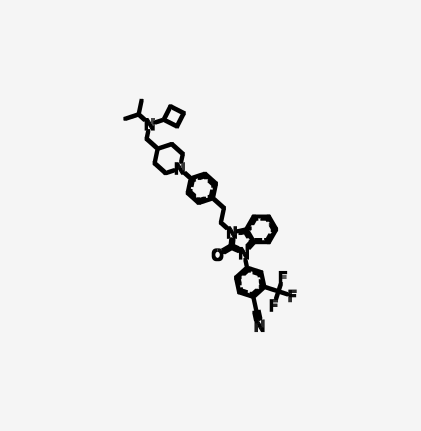 CC(C)N(CC1CCN(c2ccc(CCn3c(=O)n(-c4ccc(C#N)c(C(F)(F)F)c4)c4ccccc43)cc2)CC1)C1CCC1